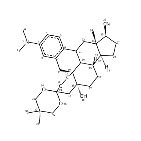 CN(C)c1ccc2c(c1)C[C@]13CCC4(C[C@]1(O)CC[C@@H]1C3C2C[C@]2(C)[C@@H](C#N)CC[C@@H]12)OCC(C)(C)CO4